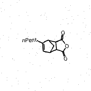 CCCCCC1=CC2CC1C1C(=O)OC(=O)C21